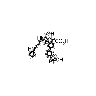 O=C(O)C(F)(F)F.O=C(O)CC(NC(=O)[C@@H](CO)NC(=O)CCCCNc1ccccn1)c1ccc(-c2ccccc2)cc1